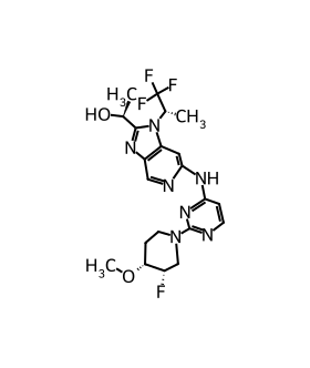 CO[C@@H]1CCN(c2nccc(Nc3cc4c(cn3)nc([C@H](C)O)n4[C@@H](C)C(F)(F)F)n2)C[C@@H]1F